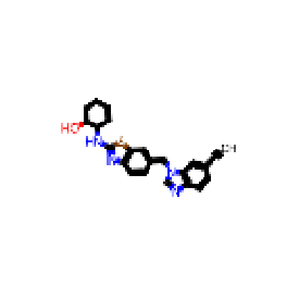 C#Cc1ccc2ncn(Cc3ccc4nc(NC5CCCCC5O)sc4c3)c2c1